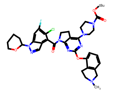 CN1CCc2c(cccc2Oc2nc(N3CCN(C(=O)OC(C)(C)C)CC3)c3c(n2)N(C(=O)c2c(Cl)c(F)cc4c2cnn4C2CCCCO2)CC3)C1